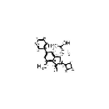 CC(C)O.Cc1cc(-c2cccnc2)cc2c1C(=O)N(C1CCC1)C2